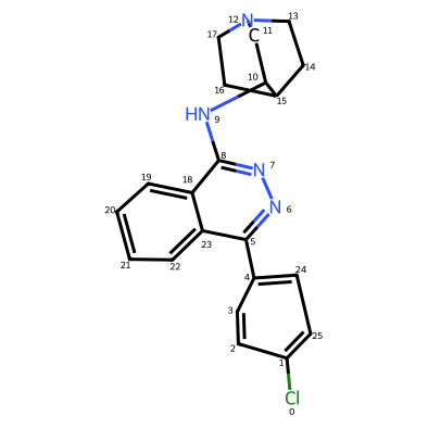 Clc1ccc(-c2nnc(NC3CN4CCC3CC4)c3ccccc23)cc1